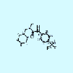 CC(CC1CCCCC1)C(=O)Nc1ccc(C(F)(F)F)cc1